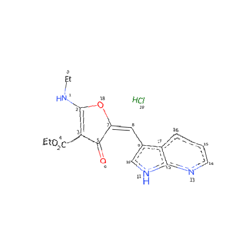 CCNC1=C(C(=O)OCC)C(=O)C(=Cc2c[nH]c3ncccc23)O1.Cl